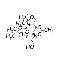 CC(C)OC(CCCCO)[C@@H]1COC(C)(C)N1C(=O)OC(C)(C)C